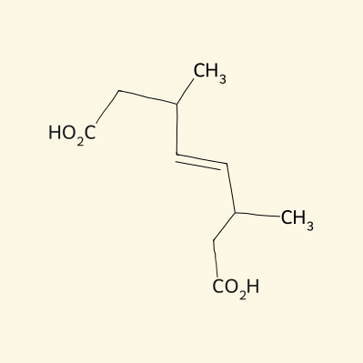 CC(C=CC(C)CC(=O)O)CC(=O)O